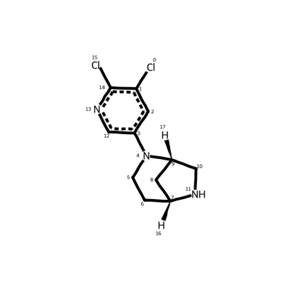 Clc1cc(N2CC[C@@H]3C[C@H]2CN3)cnc1Cl